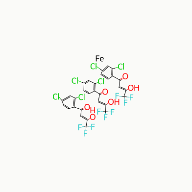 O=C(C=C(O)C(F)(F)F)c1ccc(Cl)cc1Cl.O=C(C=C(O)C(F)(F)F)c1ccc(Cl)cc1Cl.O=C(C=C(O)C(F)(F)F)c1ccc(Cl)cc1Cl.[Fe]